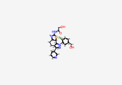 O=C(CO)Nc1nc2c(s1)-c1c(c(-c3cccnc3)nn1-c1cc(CO)ccc1F)CC2